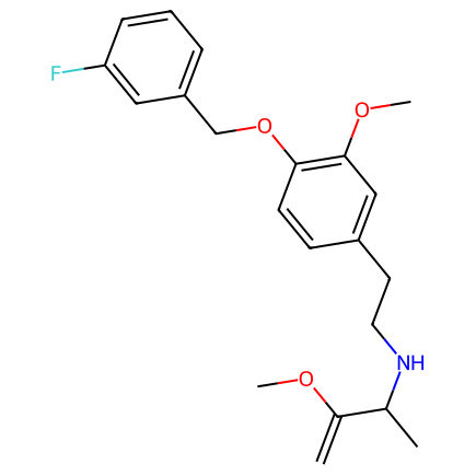 C=C(OC)C(C)NCCc1ccc(OCc2cccc(F)c2)c(OC)c1